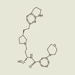 O=C(N[C@H](CCN1CC[C@@H](CCc2ccc3c(n2)NCCC3)C1)C(=O)O)c1cccc(N2CCOCC2)c1